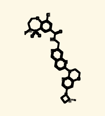 C[C@@H]1CCN1c1cnc2c(c1)OCCN2c1ccc2cnc(CNC(=O)c3cc(Cl)c4c(c3)S(=O)(=O)[C@@H](F)CCO4)cc2n1